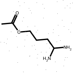 CC(=O)OCCCC(N)N